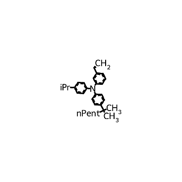 C=Cc1cccc(N(c2ccc(C(C)C)cc2)c2ccc(C(C)(C)CCCCC)cc2)c1